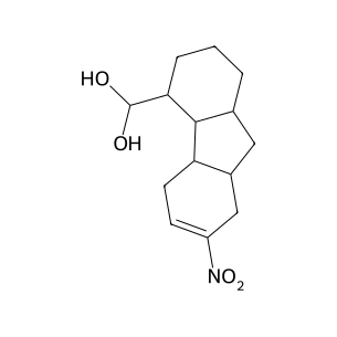 O=[N+]([O-])C1=CCC2C(C1)CC1CCCC(C(O)O)C12